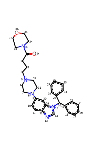 O=C(CCCN1CCN(c2ccc3ncn(C(c4ccccc4)c4ccccc4)c3c2)CC1)N1CCOCC1